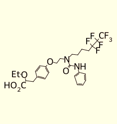 CCOC(Cc1ccc(OCCN(CCCCC(F)(F)C(F)(F)C(F)(F)F)C(=O)Nc2ccccc2)cc1)C(=O)O